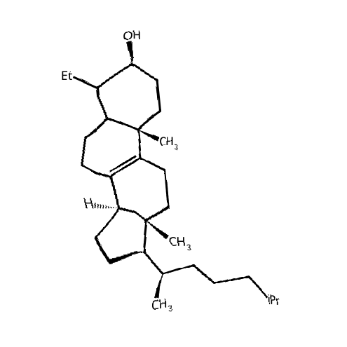 CCC1C2CCC3=C(CC[C@]4(C)[C@@H]([C@H](C)CCCC(C)C)CC[C@@H]34)[C@@]2(C)CC[C@@H]1O